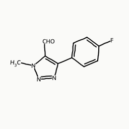 Cn1nnc(-c2ccc(F)cc2)c1C=O